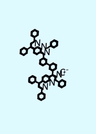 [C-]#[N+]c1c(-c2ccccc2)nc2c(ccc3c(-c4ccccc4)cc(-c4ccccc4)nc32)c1-c1cccc(-c2cccc(-c3nc(-c4ccccc4)nc4c3ccc3c(-c5ccccc5)cc(-c5ccccc5)nc34)c2)c1